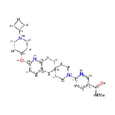 CNC(=O)c1ccc(N2CCC3(CCc4nc(OC5CCN(C6CCC6)CC5)ccc4C3)CC2)nc1